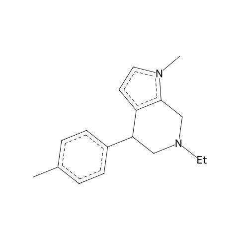 CCN1Cc2c(ccn2C)C(c2ccc(C)cc2)C1